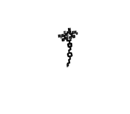 C=C(CO)C(=O)OCC(COC(=O)C(=C)C(F)(F)F)c1ccc(CCC2CCC(CCCCF)CC2)cc1